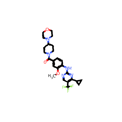 COc1cc(C(=O)N2CCC(N3CCOCC3)CC2)ccc1Nc1ncc(C(F)(F)F)c(C2CC2)n1